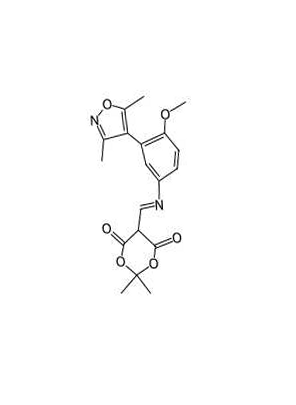 COc1ccc(N=CC2C(=O)OC(C)(C)OC2=O)cc1-c1c(C)noc1C